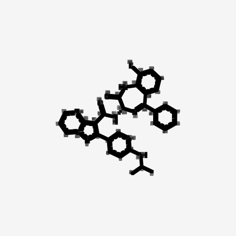 CC(C)Nc1ccc(-c2nn3cccnc3c2C(=O)N[C@H]2N=C(c3ccccc3)c3cccc(F)c3NC2=O)cn1